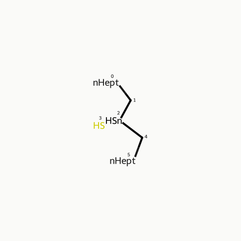 CCCCCCC[CH2][SnH]([SH])[CH2]CCCCCCC